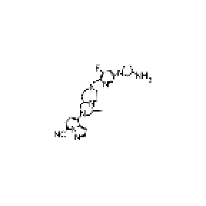 CC1CN(c2ccc(C#N)n3nccc23)CC2CCN(Cc3ncc(N4CCC(N)C4)cc3F)CCN12